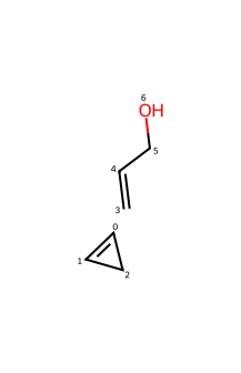 C1=CC1.C=CCO